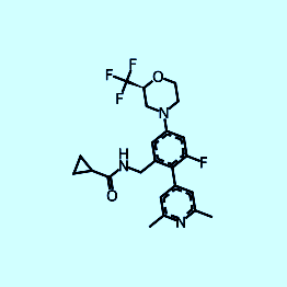 Cc1cc(-c2c(F)cc(N3CCO[C@H](C(F)(F)F)C3)cc2CNC(=O)C2CC2)cc(C)n1